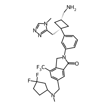 CN(Cc1cc2c(c(C(F)(F)F)c1)CN(c1cccc([C@]3(Cc4nncn4C)C[C@@H](CN)C3)c1)C2=O)C1CCC(F)(F)C1